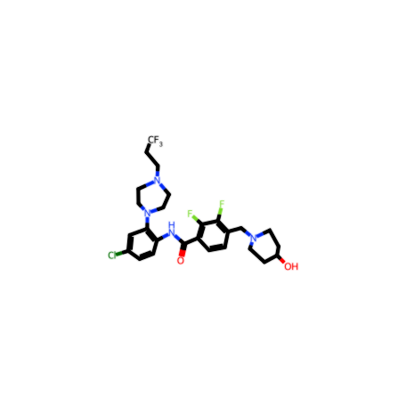 O=C(Nc1ccc(Cl)cc1N1CCN(CCC(F)(F)F)CC1)c1ccc(CN2CCC(O)CC2)c(F)c1F